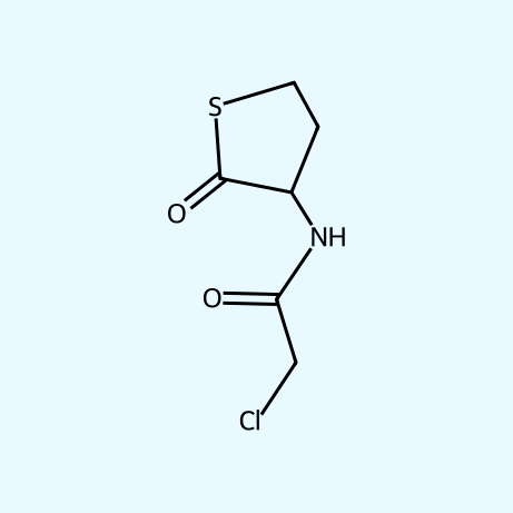 O=C(CCl)NC1CCSC1=O